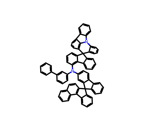 c1ccc(-c2cccc(N(c3ccc4c(c3)C3(c5ccccc5-4)c4ccccc4-c4c3ccc3ccccc43)c3cccc4c3-c3ccccc3C43c4ccccc4-n4c5ccccc5c5cccc3c54)c2)cc1